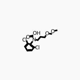 COCOCCCN(C(=O)O)c1c(Cl)cccc1Cl